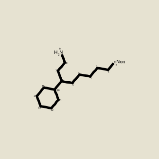 CCCCCCCCCCCCCCC(CCN)C1CCCCC1